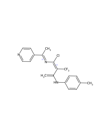 C=C(Nc1ccc(C)cc1)/C(=C(Cl)\N=C(/C)c1ccncc1)C(F)(F)F